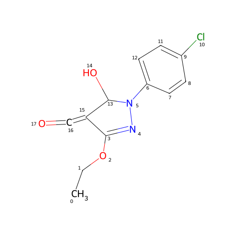 CCOC1=NN(c2ccc(Cl)cc2)C(O)C1=C=O